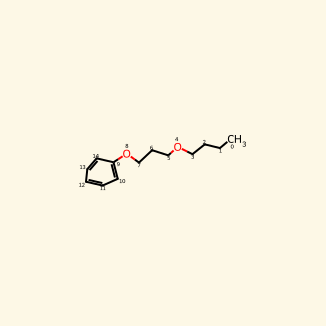 CCCCOCCCOc1ccccc1